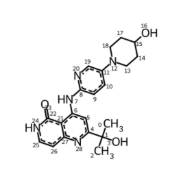 CC(C)(O)c1cc(Nc2ccc(N3CCC(O)CC3)cn2)c2c(=O)[nH]ccc2n1